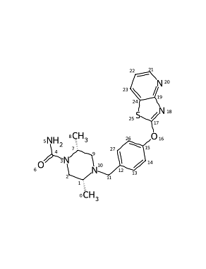 C[C@@H]1CN(C(N)=O)[C@H](C)CN1Cc1ccc(Oc2nc3ncccc3s2)cc1